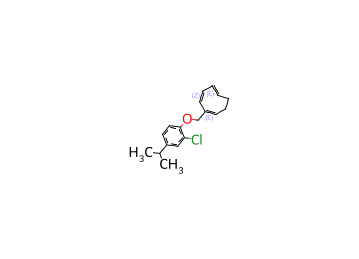 CC(C)c1ccc(OCC2=C/CC/C=C/C=C\2)c(Cl)c1